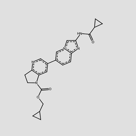 O=C(Nc1cn2cc(-c3cnc4c(c3)N(C(=O)OCC3CC3)CC4)ccc2n1)C1CC1